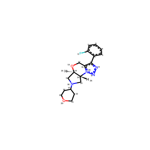 Fc1ccccc1-c1nnn2c1CO[C@@H]1CN(C3CCOCC3)C[C@H]12